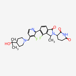 CC1c2c(ccc(-c3nccc(CN4CCC(C(C)(C)O)CC4)c3F)c2F)C(=O)N1C1CCC(=O)NC1=O